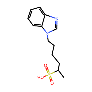 CC(CCCCn1cnc2ccccc21)S(=O)(=O)O